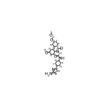 COCOc1ccc(C(=O)N(CC(=O)Nc2ccc(-c3csc(N)n3)cc2)c2ccc(OC)cc2)cc1